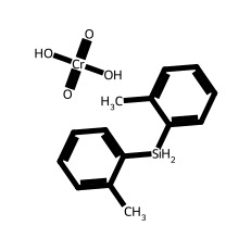 Cc1ccccc1[SiH2]c1ccccc1C.[O]=[Cr](=[O])([OH])[OH]